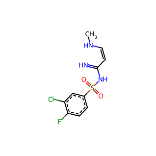 CN/C=C\C(=N)NS(=O)(=O)c1ccc(F)c(Cl)c1